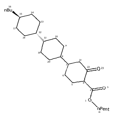 CCCCCOC(=O)C1CCC(C2CCC([C@H]3CC[C@H](CCCC)CC3)CC2)CC1=O